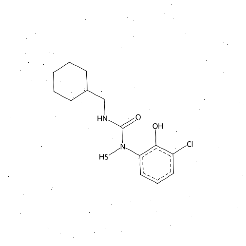 O=C(NCC1CCCCC1)N(S)c1cccc(Cl)c1O